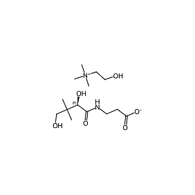 CC(C)(CO)[C@@H](O)C(=O)NCCC(=O)[O-].C[N+](C)(C)CCO